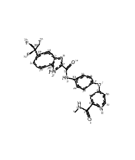 CNC(=O)c1cc(Oc2ccc(NC(=O)c3nc4cc(C(F)(F)F)ccc4[nH]3)cc2)ccn1